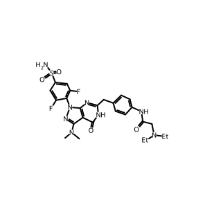 CCN(CC)CC(=O)Nc1ccc(Cc2nc3c(c(N(C)C)nn3-c3c(F)cc(S(N)(=O)=O)cc3F)c(=O)[nH]2)cc1